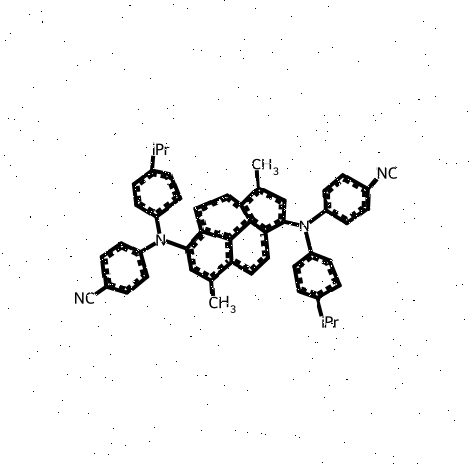 [C-]#[N+]c1ccc(N(c2ccc(C(C)C)cc2)c2cc(C)c3ccc4c(N(c5ccc(C#N)cc5)c5ccc(C(C)C)cc5)cc(C)c5ccc2c3c54)cc1